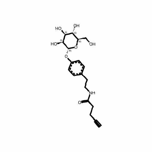 C#CCCC(=O)NCCc1ccc(O[C@H]2O[C@H](CO)[C@@H](O)[C@H](O)[C@@H]2O)cc1